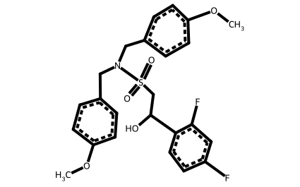 COc1ccc(CN(Cc2ccc(OC)cc2)S(=O)(=O)CC(O)c2ccc(F)cc2F)cc1